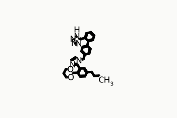 CCCCc1ccc(C2OCCCO2)c(-c2nccn2Cc2ccc(-c3ccccc3-c3nnn[nH]3)cc2)c1